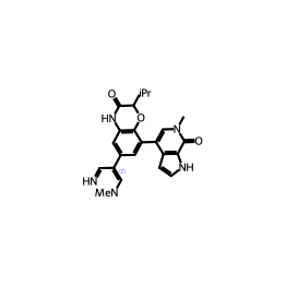 CN/C=C(\C=N)c1cc2c(c(-c3cn(C)c(=O)c4[nH]ccc34)c1)OC(C(C)C)C(=O)N2